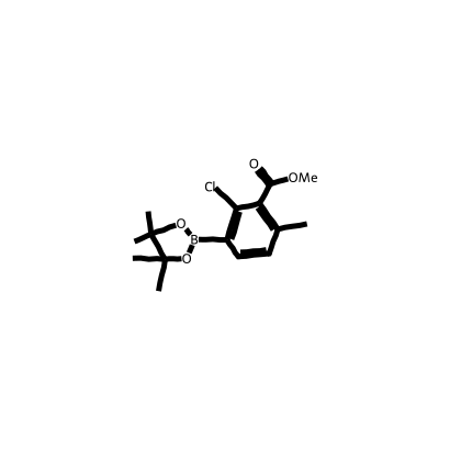 COC(=O)c1c(C)ccc(B2OC(C)(C)C(C)(C)O2)c1Cl